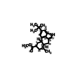 COC(=O)C1C[C@@H]2c3cc(C(C)(C)C)cc4[nH]cc(c34)C[C@H]2N(C)C1